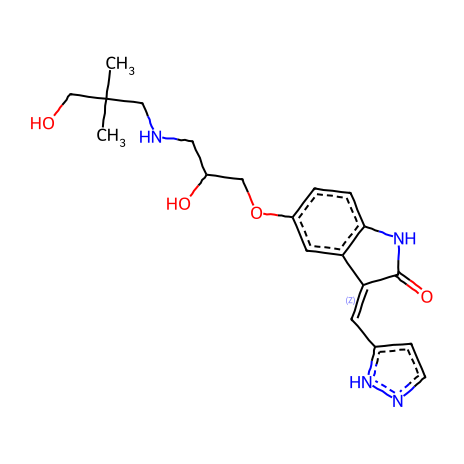 CC(C)(CO)CNCC(O)COc1ccc2c(c1)/C(=C/c1ccn[nH]1)C(=O)N2